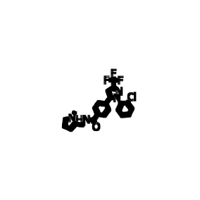 Cn1cccc1CNC(=O)c1ccc(-c2cc(C(F)(F)F)nn2-c2ccccc2Cl)cc1